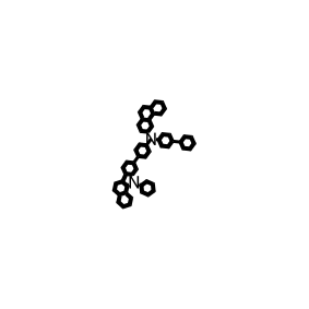 c1ccc(-c2ccc(N(c3ccc(-c4ccc5c6ccc7ccccc7c6n(-c6ccccc6)c5c4)cc3)c3ccc4ccc5ccccc5c4c3)cc2)cc1